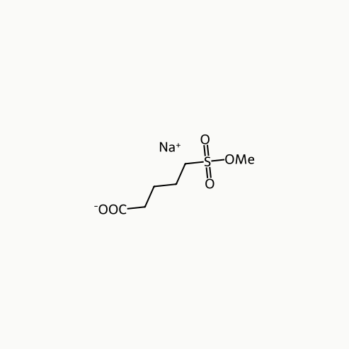 COS(=O)(=O)CCCCC(=O)[O-].[Na+]